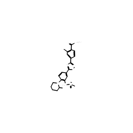 COC(=O)c1ccc(-c2noc(-c3ccc(N4CCCCC4C)c(NS(C)(=O)=O)c3)n2)cc1Cl